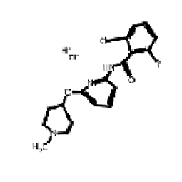 CN1CCC(Oc2cccc(NC(=O)c3c(F)cccc3Cl)n2)CC1.[Cl-].[H+]